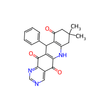 CC1(C)CC(=O)C2=C(C1)NC1=C(C(=O)c3ncncc3C1=O)C2c1ccccc1